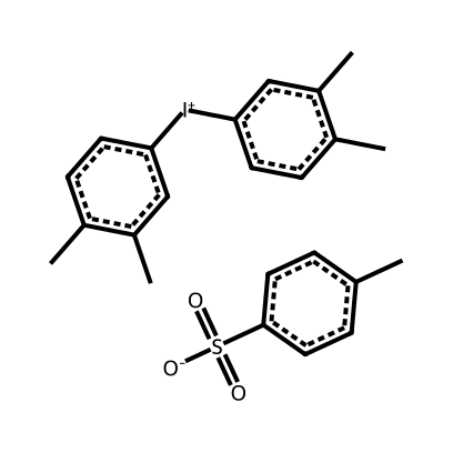 Cc1ccc(S(=O)(=O)[O-])cc1.Cc1ccc([I+]c2ccc(C)c(C)c2)cc1C